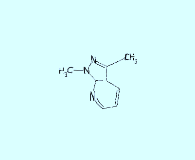 CC1=NN(C)C2N=CC=CC12